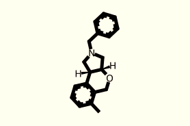 Cc1cccc2c1CO[C@H]1CN(Cc3ccccc3)C[C@@H]21